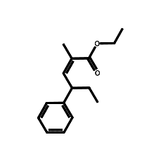 CCOC(=O)C(C)=CC(CC)c1ccccc1